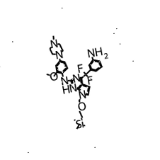 COc1cc(N2CCN(C)CC2)ccc1Nc1nc(C(F)(F)c2cccc(N)c2)c2ccn(COCC[Si](C)(C)C)c2n1